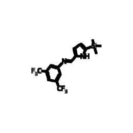 C[Si](C)(C)c1ccc(/C=N/c2cc(C(F)(F)F)cc(C(F)(F)F)c2)[nH]1